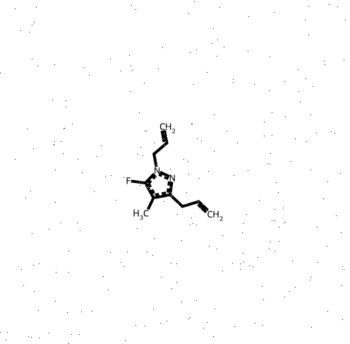 C=CCc1nn(CC=C)c(F)c1C